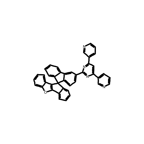 c1cncc(-c2cc(-c3cccnc3)nc(-c3ccc4c(c3)-c3ccccc3C43c4ccccc4-c4oc5ccccc5c43)n2)c1